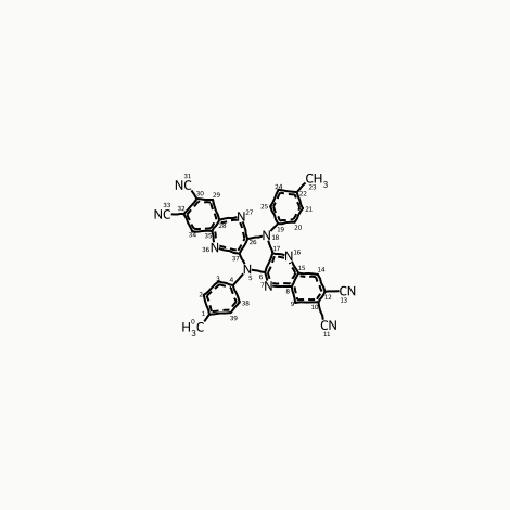 Cc1ccc(N2c3nc4cc(C#N)c(C#N)cc4nc3N(c3ccc(C)cc3)c3nc4cc(C#N)c(C#N)cc4nc32)cc1